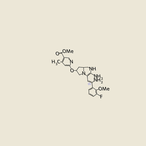 COC(=O)c1cnc(OC2CC3CNC(N)=C(/C=C(\N)c4cccc(F)c4OC)N3C2)cc1C